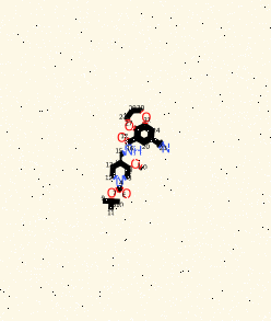 CO[C@@H]1CN(C(=O)OC(C)(C)C)CC[C@H]1CNC(=O)c1cc(C#N)cc2c1OCCCO2